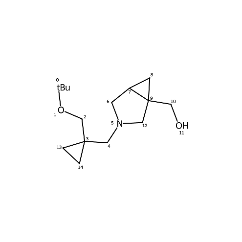 CC(C)(C)OCC1(CN2CC3CC3(CO)C2)CC1